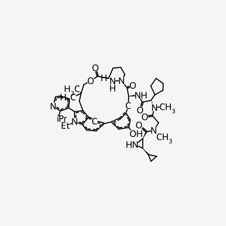 CCn1c(-c2cccnc2C(C)C)c2c3cc(ccc31)-c1cc(O)cc(c1)C[C@H](NC(=O)[C@H](C1CCCC1)N(C)C(=O)CN(C)C(=O)[C@@H]1N[C@@H]1C1CC1)C(=O)N1CCC[C@H](N1)C(=O)OCC(C)(C)C2